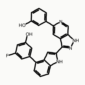 Oc1cccc(-c2cc3c(-c4cc5c(-c6cc(O)cc(F)c6)cccc5[nH]4)n[nH]c3cn2)c1